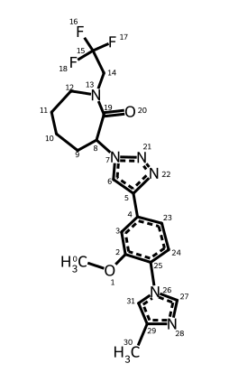 COc1cc(-c2cn(C3CCCCN(CC(F)(F)F)C3=O)nn2)ccc1-n1cnc(C)c1